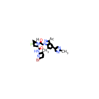 CC(=O)c1nn(CC(=O)N2[C@H](C(=O)Nc3nc(Br)ccc3C)C[C@@]3(F)C[C@@H]23)c2ccc(-c3cnc(C)nc3)cc12